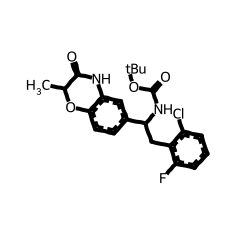 CC1Oc2ccc(C(Cc3c(F)cccc3Cl)NC(=O)OC(C)(C)C)cc2NC1=O